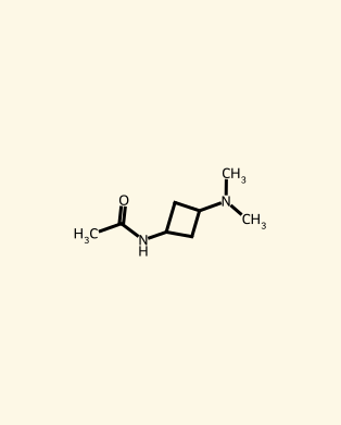 CC(=O)NC1CC(N(C)C)C1